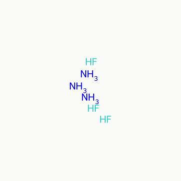 F.F.F.N.N.N